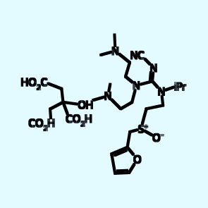 CC(C)N(CC[S+]([O-])Cc1ccco1)C(=NC#N)N(CCN(C)C)CCN(C)C.O=C(O)CC(O)(CC(=O)O)C(=O)O